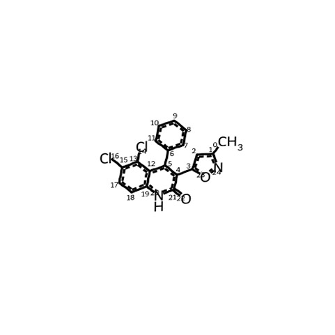 Cc1cc(-c2c(-c3ccccc3)c3c(Cl)c(Cl)ccc3[nH]c2=O)on1